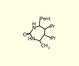 CCCC(C)C1NC(=O)NC(C)C(C(C)C)C1C(C)C